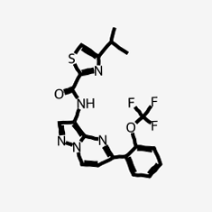 CC(C)c1csc(C(=O)Nc2cnn3ccc(-c4ccccc4OC(F)(F)F)nc23)n1